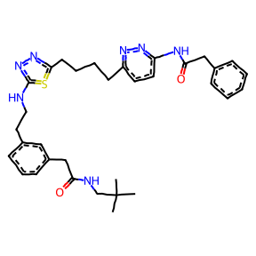 CC(C)(C)CNC(=O)Cc1cccc(CCNc2nnc(CCCCc3ccc(NC(=O)Cc4ccccc4)nn3)s2)c1